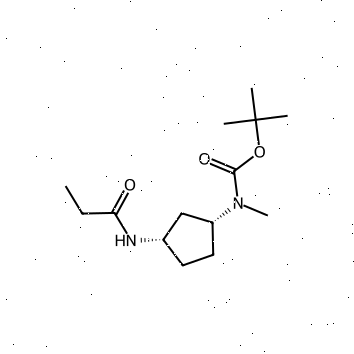 CCC(=O)N[C@H]1CC[C@@H](N(C)C(=O)OC(C)(C)C)C1